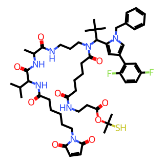 CC(NC(=O)C(NC(=O)CCCCCN1C(=O)C=CC1=O)C(C)C)C(=O)NCCCN(C(=O)CCCCC(=O)NCCC(=O)OC(C)(C)S)C(c1cc(-c2cc(F)ccc2F)cn1Cc1ccccc1)C(C)(C)C